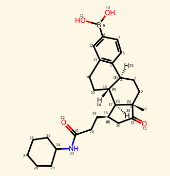 C[C@]12CC[C@@H]3c4ccc(B(O)O)cc4CC[C@H]3[C@@H]1[C@H](CCC(=O)NC1CCCCC1)CC2=O